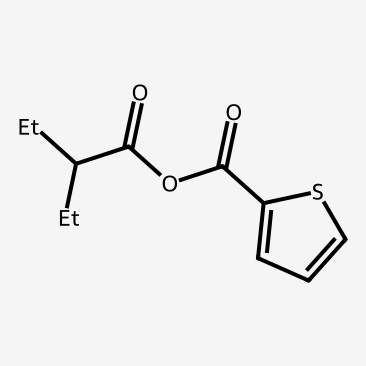 CCC(CC)C(=O)OC(=O)c1cccs1